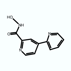 O=C(NO)c1cc(-c2ccccn2)ccn1